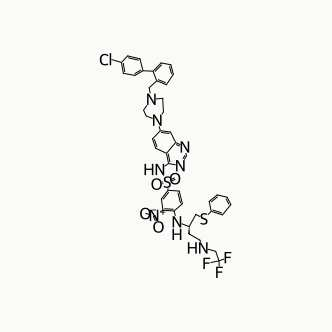 O=[N+]([O-])c1cc(S(=O)(=O)Nc2ncnc3cc(N4CCN(Cc5ccccc5-c5ccc(Cl)cc5)CC4)ccc23)ccc1N[C@H](CCNCC(F)(F)F)CSc1ccccc1